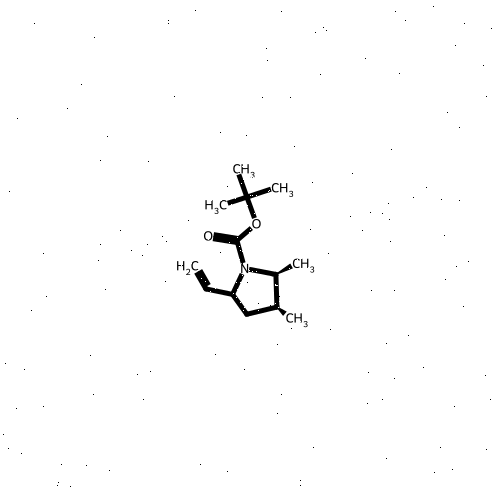 C=CC1C[C@H](C)[C@H](C)N1C(=O)OC(C)(C)C